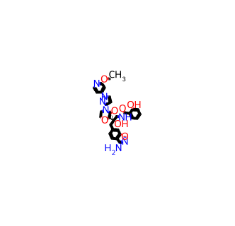 CCOc1cc(-n2ccc(N3CCO[C@H](C(O)(CNC(=O)c4ccccc4O)Cc4ccc5c(N)noc5c4)C3=O)n2)ccn1